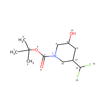 CC(C)(C)OC(=O)N1CC(O)CC(C(F)F)C1